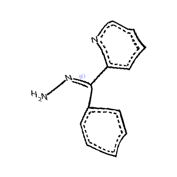 N/N=C(\c1ccccc1)c1ccccn1